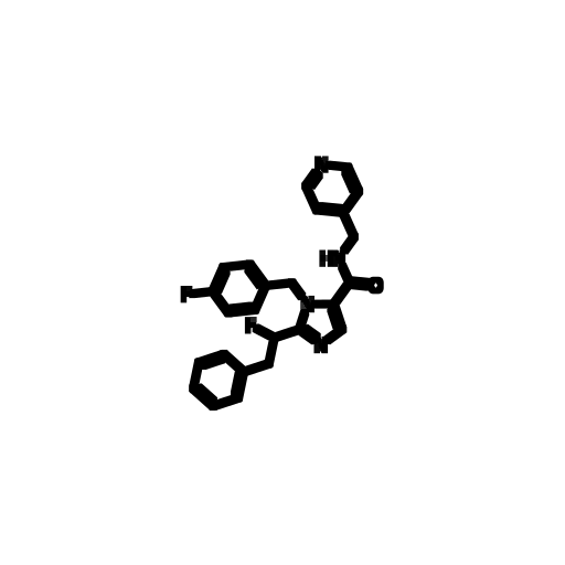 O=C(NCc1ccncc1)c1cnc(C(F)Cc2ccccc2)n1Cc1ccc(F)cc1